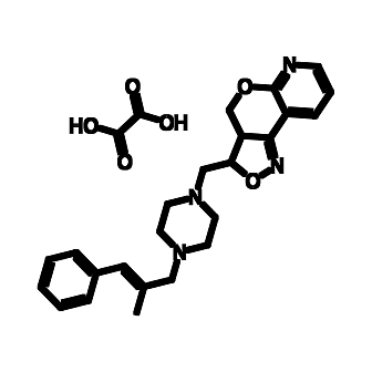 CC(=Cc1ccccc1)CN1CCN(CC2ON=C3c4cccnc4OCC32)CC1.O=C(O)C(=O)O